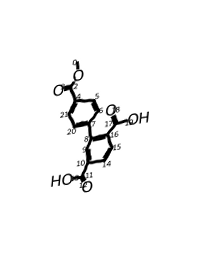 COC(=O)c1ccc(-c2cc(C(=O)O)ccc2C(=O)O)cc1